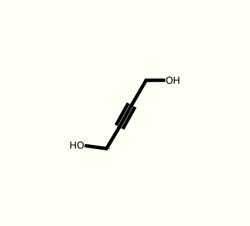 O[CH]C#CCO